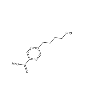 COC(=O)c1ccc(CCCCC=O)cc1